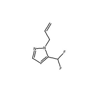 C=CCn1nc[c]c1C(F)F